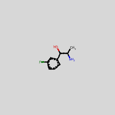 CC(N)C(O)c1cccc(F)c1